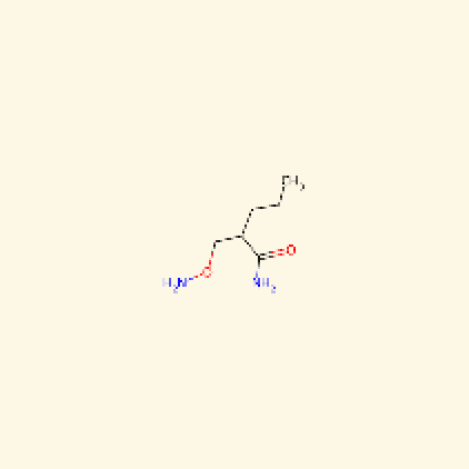 CCCC(CON)C(N)=O